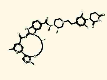 Cc1cc2cc(n1)-c1cnn(C)c1OCCC[C@@H](C)CN1/C(=N/C2=O)Nc2ccc(C(=O)N(C)[C@@H]3CCN(CCc4cc(F)c([C@H]5CCC(=O)NC5=O)c(F)c4)C[C@@H]3F)cc21